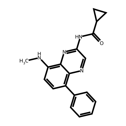 CNc1ccc(-c2ccccc2)c2ncc(NC(=O)C3CC3)nc12